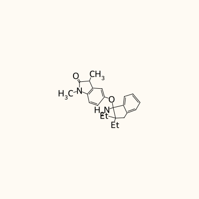 CCC1(CC)Cc2ccccc2C1(N)Oc1ccc2c(c1)C(C)C(=O)N2C